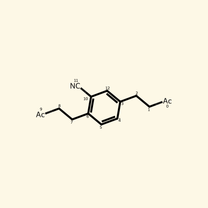 CC(=O)CCc1[c]cc(CCC(C)=O)c(C#N)c1